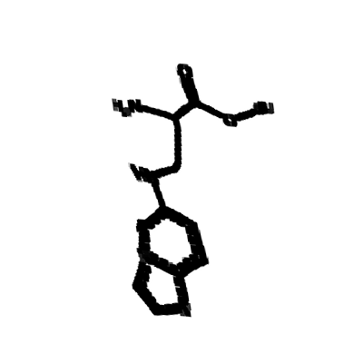 CC(C)(C)OC(=O)C(N)CNc1ccc2nccn2n1